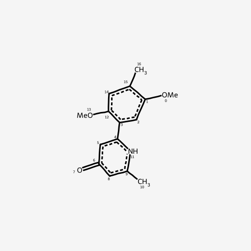 COc1cc(-c2cc(=O)cc(C)[nH]2)c(OC)cc1C